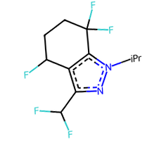 CC(C)n1nc(C(F)F)c2c1C(F)(F)CCC2F